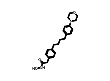 O=C(Cc1ccc(CCCCc2ccc(N3CCOCC3)cc2)cc1)NO